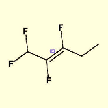 CC/C(F)=C(\F)C(F)F